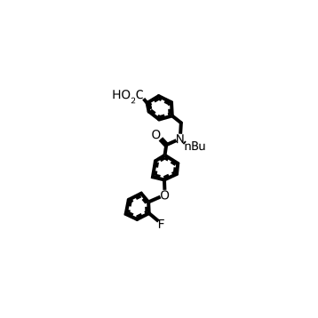 CCCCN(Cc1ccc(C(=O)O)cc1)C(=O)c1ccc(Oc2ccccc2F)cc1